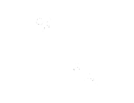 CC(C)(C)NC(=O)OC1CCN(S(=O)(=O)CCCCCCCCCCCCCCN2C(=O)c3ccccc3C2=O)CC1